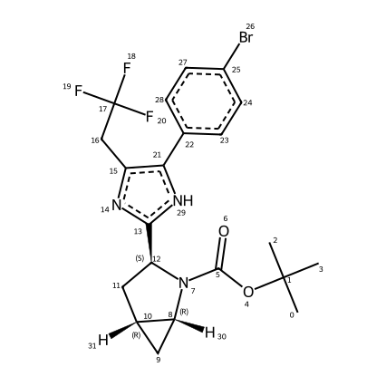 CC(C)(C)OC(=O)N1[C@@H]2C[C@@H]2C[C@H]1c1nc(CC(F)(F)F)c(-c2ccc(Br)cc2)[nH]1